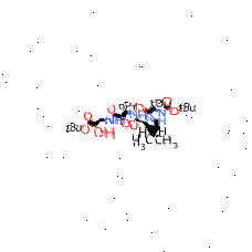 CCCC(NC(=O)[C@@H]1[C@@H]2[C@H](CN1C(=O)[C@@H](NC(=O)OC(C)(C)C)C(C)(C)C)C2(C)C)C(=O)C(=O)NCC(O)C(=O)OC(C)(C)C